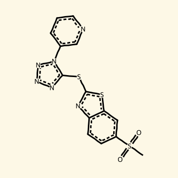 CS(=O)(=O)c1ccc2nc(Sc3nnnn3-c3cccnc3)sc2c1